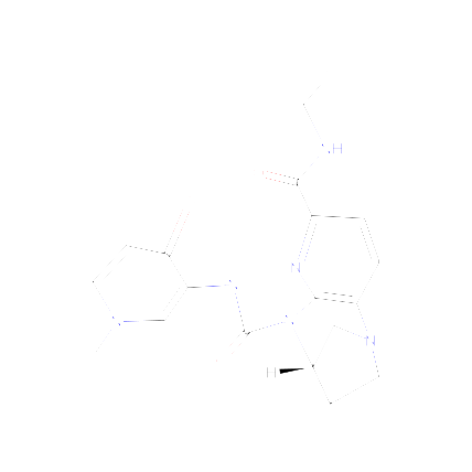 Cn1ccc(=O)c(NC(=O)N2c3nc(C(=O)NCC(F)(F)F)ccc3N3CC[C@H]2C3)c1